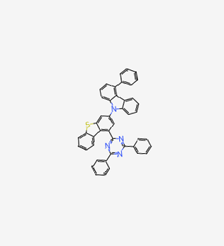 c1ccc(-c2nc(-c3ccccc3)nc(-c3cc(-n4c5ccccc5c5c(-c6ccccc6)cccc54)cc4sc5ccccc5c34)n2)cc1